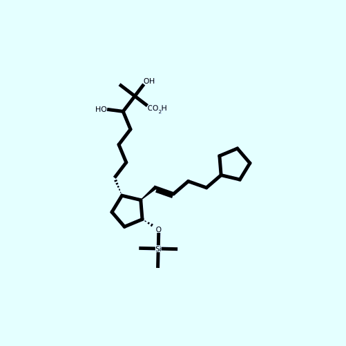 CC(O)(C(=O)O)C(O)CCCC[C@H]1CC[C@@H](O[Si](C)(C)C)[C@@H]1C=CCCC1CCCC1